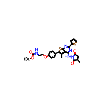 CC1=CC(=O)N(Nc2nc(-c3cccs3)nc3sc(-c4ccc(OCCNC(=O)OC(C)(C)C)cc4)c(C)c23)C1=O